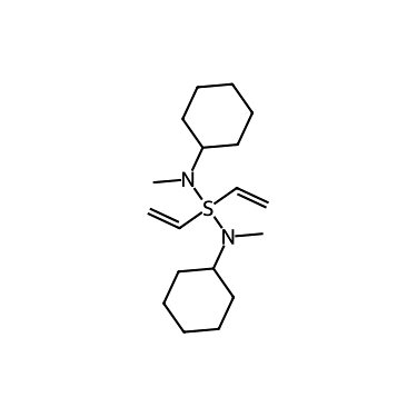 C=CS(C=C)(N(C)C1CCCCC1)N(C)C1CCCCC1